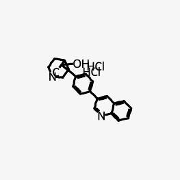 Cl.Cl.OC1(c2ccc(-c3cnc4ccccc4c3)cc2)CN2CCC1CC2